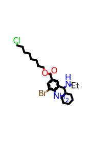 CCNC(c1cc(C(=O)OCCCCCCCCCl)cc(Br)c1N)C1CCCCC1